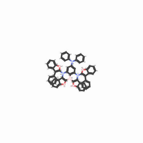 c1ccc(-c2c(N3c4cc(N(c5ccccc5)c5ccccc5)cc5c4B(c4oc6ccccc6c43)c3oc4ccccc4c3N5c3oc4ccccc4c3-c3ccccc3)oc3ccccc23)cc1